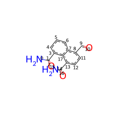 NC(=O)c1cccc2c(C=O)ccc(C(N)=O)c12